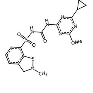 COc1nc(NC(=O)NS(=O)(=O)c2cccc3c2SN(C)C3)nc(C2CC2)n1